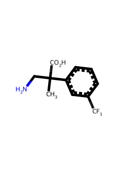 CC(CN)(C(=O)O)c1cccc(C(F)(F)F)c1